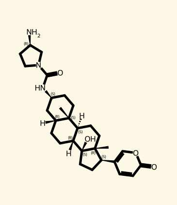 C[C@]12CC[C@H](NC(=O)N3CC[C@@H](N)C3)C[C@H]1CC[C@@H]1[C@@H]2CC[C@]2(C)[C@@H](c3ccc(=O)oc3)CC[C@]12O